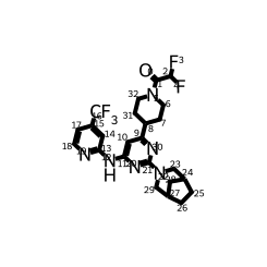 O=C(C(F)F)N1CCC(c2cc(Nc3cc(C(F)(F)F)ccn3)nc(N3CC4CCC(C4)C3)n2)CC1